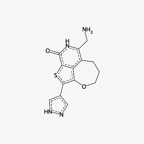 NCc1[nH]c(=O)c2sc(-c3cn[nH]c3)c3c2c1CCCO3